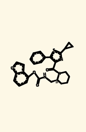 O=C(NC[C@@H]1CCCCN1C(=O)c1nc(C2CC2)sc1-c1ccccc1)Oc1cccc2occc12